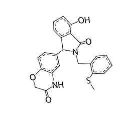 CSc1ccccc1CN1C(=O)c2c(O)cccc2C1c1ccc2c(c1)NC(=O)CO2